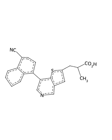 CC(Cc1cc2cncc(-c3ccc(C#N)c4ccccc34)c2s1)C(=O)O